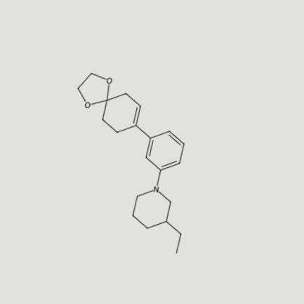 CCC1CCCN(c2cccc(C3=CCC4(CC3)OCCO4)c2)C1